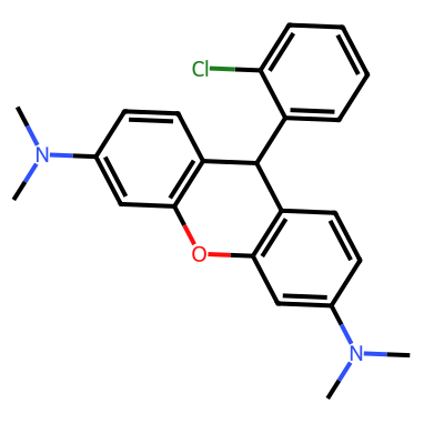 CN(C)c1ccc2c(c1)Oc1cc(N(C)C)ccc1C2c1ccccc1Cl